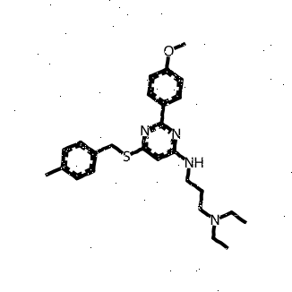 CCN(CC)CCCNc1cc(SCc2ccc(C)cc2)nc(-c2ccc(OC)cc2)n1